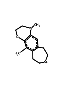 Cc1c2c(cc3c1OCCN3C)CCNCC2